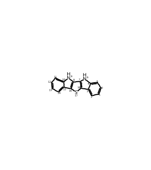 c1ccc2c(c1)[nH]c1c3[nH]c4ccccc4c3sc21